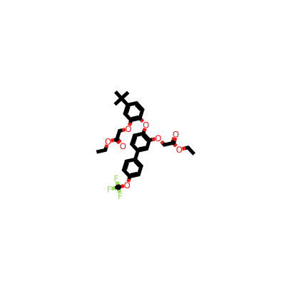 CCOC(=O)COc1cc(-c2ccc(OC(F)(F)F)cc2)ccc1Oc1ccc(C(C)(C)C)cc1OCC(=O)OCC